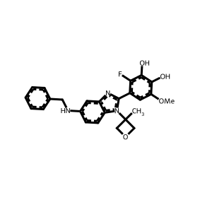 COc1cc(-c2nc3cc(NCc4ccccc4)ccc3n2C2(C)COC2)c(F)c(O)c1O